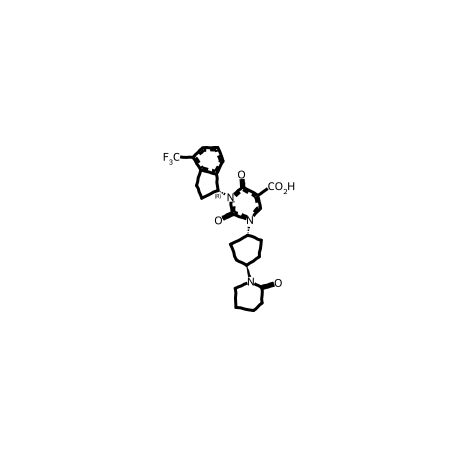 O=C(O)c1cn([C@H]2CC[C@H](N3CCCCC3=O)CC2)c(=O)n([C@@H]2CCc3c2cccc3C(F)(F)F)c1=O